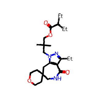 CCc1nn(CC(C)(C)COC(=O)C(CC)CC)c2c1C(=O)NCC1(CCOCC1)C2